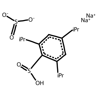 CC(C)c1cc(C(C)C)c(S(=O)O)c(C(C)C)c1.O=S([O-])[O-].[Na+].[Na+]